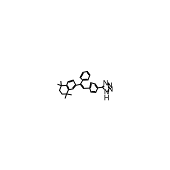 CC1(C)CCC(C)(C)c2cc(C(=Cc3ccc(-c4nnn[nH]4)cc3)c3ccccc3)ccc21